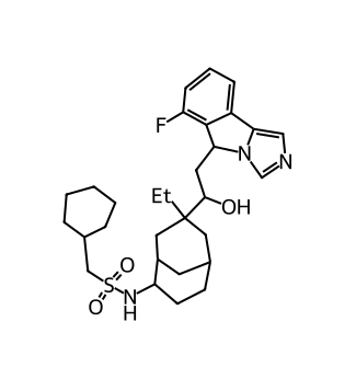 CCC1(C(O)CC2c3c(F)cccc3-c3cncn32)CC2CCC(NS(=O)(=O)CC3CCCCC3)C(C2)C1